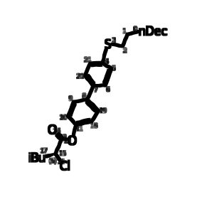 CCCCCCCCCCCCSc1ccc(-c2ccc(OC(=O)[C@@H](Cl)C(C)CC)cc2)cc1